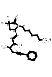 CC(CC#Cc1ccccc1)C(O)C=C[C@H]1CC(F)(F)C(=O)N1CCCCCCC(=O)O